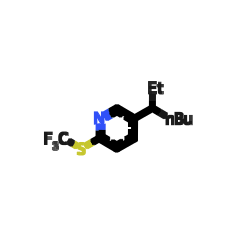 CCCCC(CC)c1ccc(SC(F)(F)F)nc1